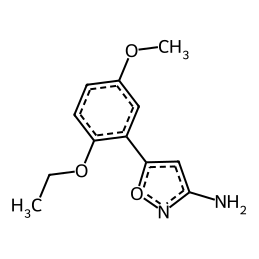 CCOc1ccc(OC)cc1-c1cc(N)no1